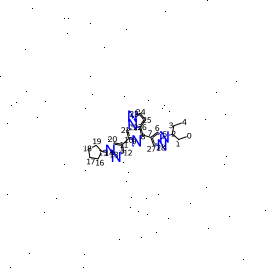 CCC(CC)n1cc(-c2nc(-c3cnn(C4CCCC4)c3)cn3nccc23)cn1